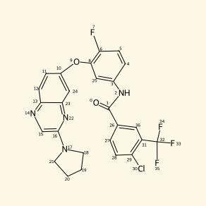 O=C(Nc1ccc(F)c(Oc2ccc3ncc(N4CCCC4)nc3c2)c1)c1ccc(Cl)c(C(F)(F)F)c1